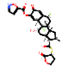 C[C@@H]1C[C@H]2[C@H]3C[C@H](F)C4=CC(=O)C(OC(=O)c5ccno5)=C[C@]4(C)[C@@]3(F)[C@@H](O)C[C@]2(C)[C@@H]1C(=O)S[C@H]1CCOC1=O